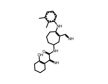 Cc1cccc(NC2=C(C=N)CC(NC(=O)C(=N)C3=C(O)CCCC3)CCC2)c1C